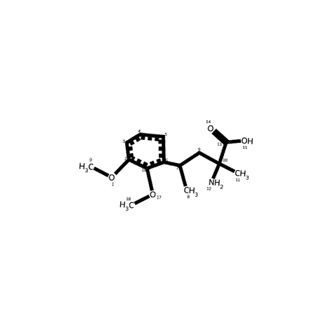 COc1cccc(C(C)CC(C)(N)C(=O)O)c1OC